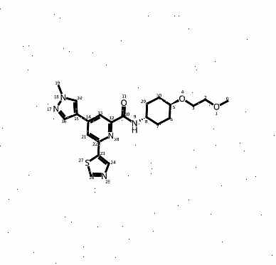 COCCO[C@H]1CC[C@H](NC(=O)c2cc(-c3cnn(C)c3)cc(-c3cncs3)n2)CC1